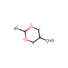 CC(C)C1OCC(C=O)CO1